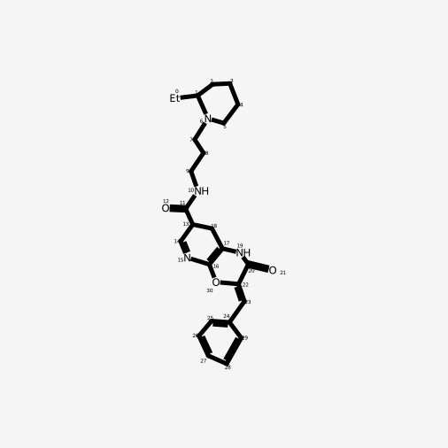 CCC1CCCCN1CCCNC(=O)C1C=NC2=C(C1)NC(=O)/C(=C/c1ccccc1)O2